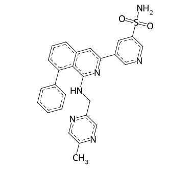 Cc1cnc(CNc2nc(-c3cncc(S(N)(=O)=O)c3)cc3cccc(-c4ccccc4)c23)cn1